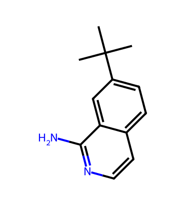 CC(C)(C)c1ccc2ccnc(N)c2c1